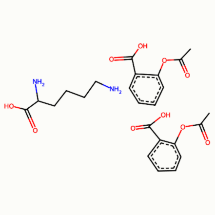 CC(=O)Oc1ccccc1C(=O)O.CC(=O)Oc1ccccc1C(=O)O.NCCCCC(N)C(=O)O